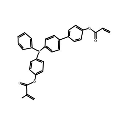 C=CC(=O)Oc1ccc(-c2ccc(N(c3ccccc3)c3ccc(OC(=O)C(=C)C)cc3)cc2)cc1